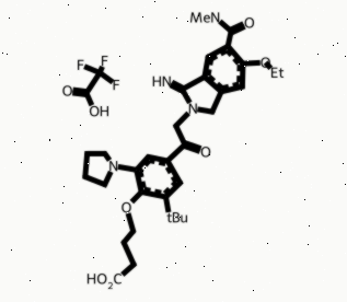 CCOc1cc2c(cc1C(=O)NC)C(=N)N(CC(=O)c1cc(N3CCCC3)c(OCCCC(=O)O)c(C(C)(C)C)c1)C2.O=C(O)C(F)(F)F